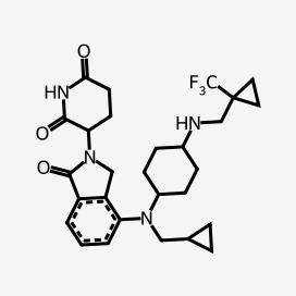 O=C1CCC(N2Cc3c(cccc3N(CC3CC3)C3CCC(NCC4(C(F)(F)F)CC4)CC3)C2=O)C(=O)N1